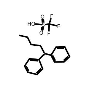 CCCCI(c1ccccc1)c1ccccc1.O=S(=O)(O)C(F)(F)F